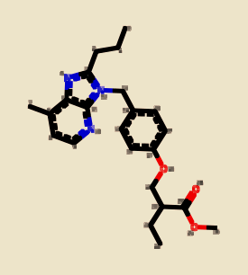 CCCc1nc2c(C)ccnc2n1Cc1ccc(OCC(CC)C(=O)OC)cc1